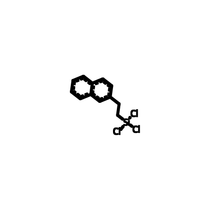 Cl[Si](Cl)(Cl)CCc1ccc2ccccc2c1